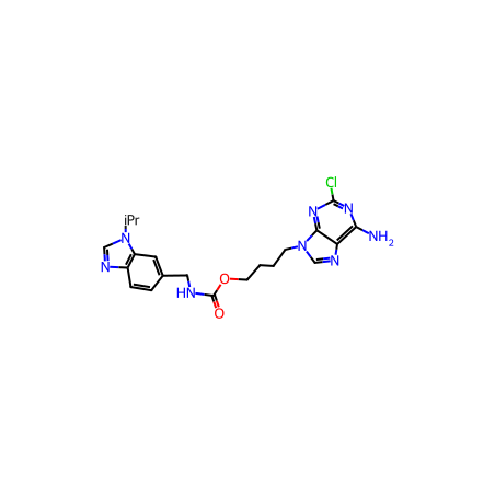 CC(C)n1cnc2ccc(CNC(=O)OCCCCn3cnc4c(N)nc(Cl)nc43)cc21